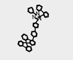 c1ccc(-c2nc(-c3ccc(-c4ccc(-c5cccc6c5-c5ccccc5C65c6ccccc6-c6ccccc65)cc4)cc3)nc(-c3ccccc3-c3ccccc3)n2)cc1